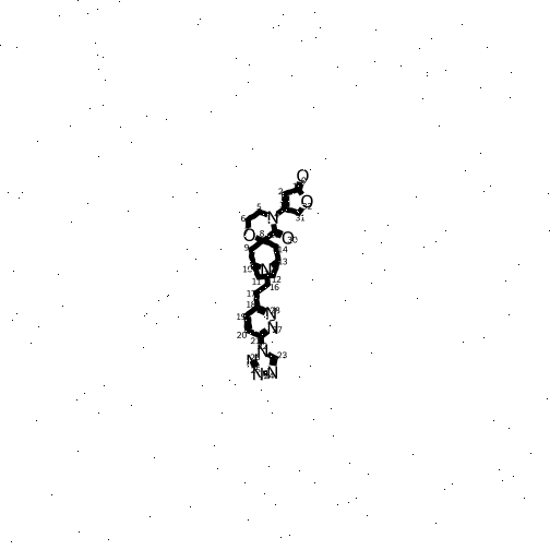 O=C1C=C(N2CCOC3(CC4CCC(C3)N4CCc3ccc(-n4cnnn4)nn3)C2=O)CO1